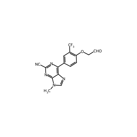 Cn1cnc2c(-c3ccc(OCC=O)c(C(F)(F)F)c3)nc(C#N)nc21